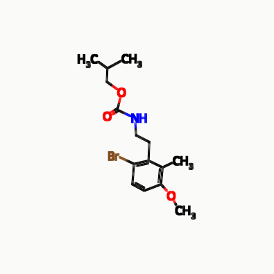 COc1ccc(Br)c(CCNC(=O)OCC(C)C)c1C